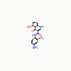 Nc1ccc(NC(=O)c2c[nH]c3cccc(O)c3c2=O)c(C(F)(F)F)c1